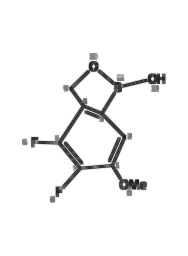 COc1cc2c(c(F)c1F)COB2O